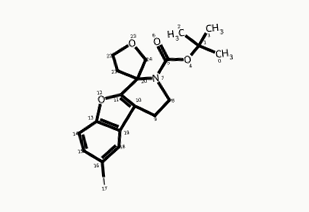 CC(C)(C)OC(=O)N1CCc2c(oc3ccc(I)cc23)C12CCOC2